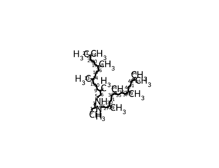 CCC(CNCCC(C)CCCC(C)CCCC(C)CCCC(C)C)NCCC(C)CCCC(C)CCCC(C)CCCC(C)C